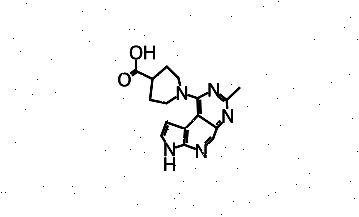 Cc1nc(N2CCC(C(=O)O)CC2)c2c(cnc3[nH]ccc32)n1